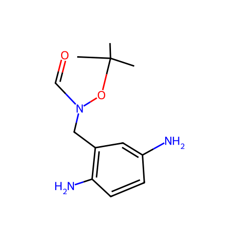 CC(C)(C)ON(C=O)Cc1cc(N)ccc1N